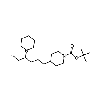 [CH2]CC(CCCC1CCN(C(=O)OC(C)(C)C)CC1)N1CCCCC1